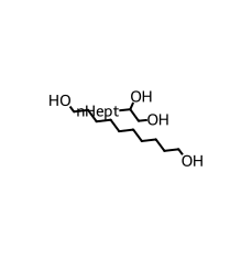 CCCCCCCC(O)CO.OCCCCCCCCCCO